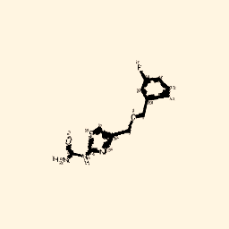 NC(=O)Nc1nc(COCc2cccc(F)c2)cs1